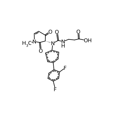 CN1C=CC(=O)[C@H](N(C(=O)NCCC(=O)O)c2ccc(-c3ccc(F)cc3F)cc2)C1=O